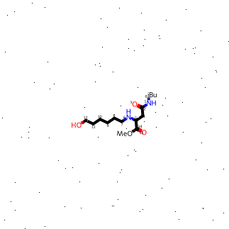 CCC(C)NC(=O)CC(NCCCCCCO)C(=O)OC